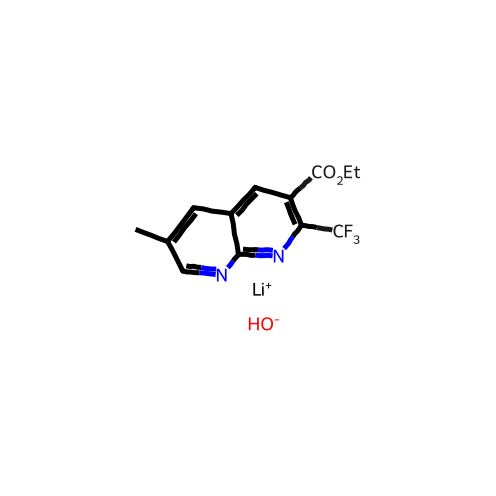 CCOC(=O)c1cc2cc(C)cnc2nc1C(F)(F)F.[Li+].[OH-]